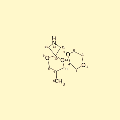 C1COCCO1.CC1COC2(CNC2)OC1